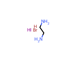 Br.I.NCCN